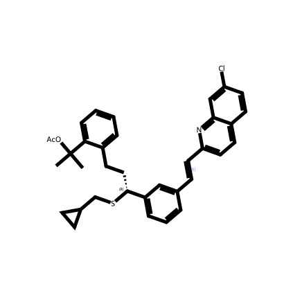 CC(=O)OC(C)(C)c1ccccc1CC[C@@H](SCC1CC1)c1cccc(/C=C/c2ccc3ccc(Cl)cc3n2)c1